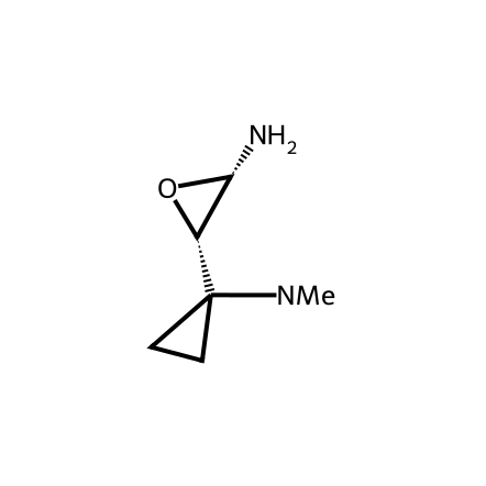 CNC1([C@@H]2O[C@@H]2N)CC1